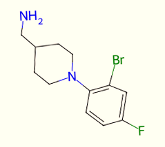 NCC1CCN(c2ccc(F)cc2Br)CC1